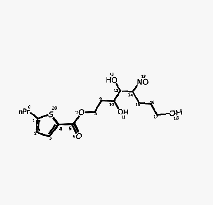 CCCc1ccc(C(=O)OCCC(O)C(O)C(CCCO)N=O)s1